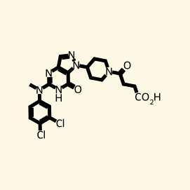 CN(c1ccc(Cl)c(Cl)c1)c1nc2cnn(C3CCN(C(=O)CCC(=O)O)CC3)c2c(=O)[nH]1